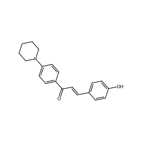 O=C(/C=C/c1ccc(O)cc1)c1ccc(N2CCCCC2)cc1